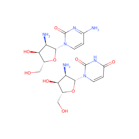 N[C@@H]1[C@H](O)[C@@H](CO)O[C@H]1n1ccc(=O)[nH]c1=O.Nc1ccn([C@@H]2O[C@H](CO)[C@@H](O)[C@H]2N)c(=O)n1